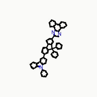 c1ccc(-n2c3ccccc3c3cc(-c4ccc5c(c4)C(c4ccccc4)(c4ccccc4)c4cc(-c6cnc7c8ccccc8c8ccccc8c7n6)ccc4-5)ccc32)cc1